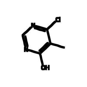 Cc1c(O)ncnc1Cl